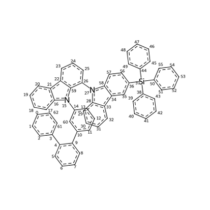 c1ccc(-c2ccccc2-c2cccc(-n3c4ccccc4c4cccc(-n5c6ccccc6c6cc([Si](c7ccccc7)(c7ccccc7)c7ccccc7)ccc65)c43)c2)cc1